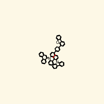 C1=C(c2ccc(N(c3ccccc3-c3ccccc3-n3c4ccccc4c4ccccc43)c3cc4ccccc4c4ccccc34)cc2)CCC(c2cccc3c2oc2ccccc23)=C1